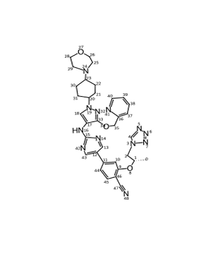 C[C@@H](Cn1cnnn1)Oc1cc(-c2cnc(Nc3cn(C4CCC(N5CCOCC5)CC4)nc3OCc3ccccn3)nc2)ccc1C#N